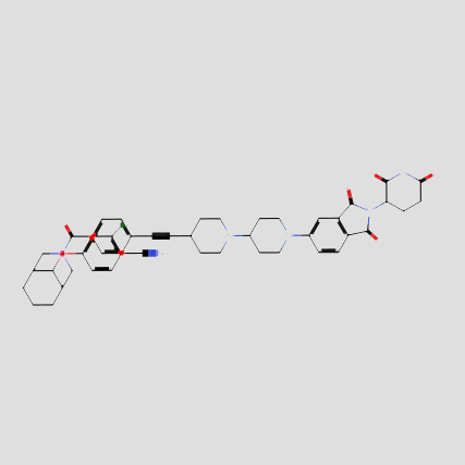 N#Cc1ccc(OC2C3CCCC2CN(C(=O)c2ccc(C#CC4CCN(C5CCN(c6ccc7c(c6)C(=O)N(C6CCC(=O)NC6=O)C7=O)CC5)CC4)cc2)C3)cc1Cl